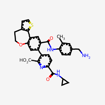 Cc1cc(CN)ccc1NC(=O)c1cc2c(cc1-c1ccc(C(=O)NC3CC3)nc1C(=O)O)OCCc1ccsc1-2